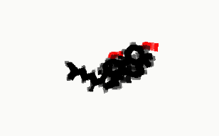 CC(C)CCC[C@@H](C)[C@H]1CC[C@H]2[C@@H]3CC=C4C(C)(C)[C@H](O)CC[C@]4(C)[C@H]3[C@@H](O)C[C@]12C